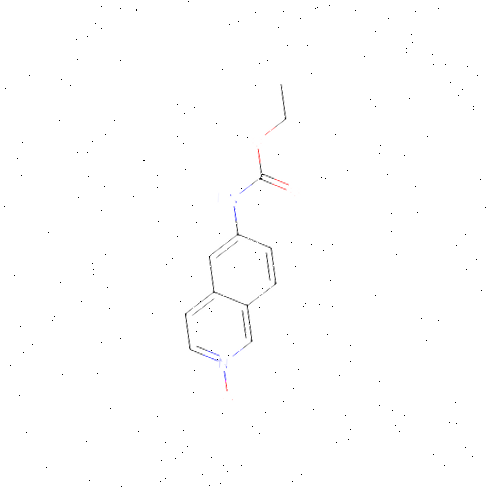 CCOC(=O)Nc1ccc2c[n+]([O-])ccc2c1